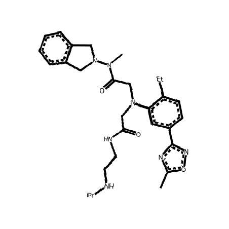 CCc1ccc(-c2noc(C)n2)cc1N(CC(=O)NCCNC(C)C)CC(=O)N(C)N1Cc2ccccc2C1